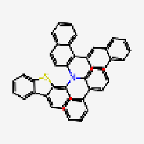 c1ccc(-c2ccccc2N(c2ccc3ccccc3c2-c2ccc3ccccc3c2)c2cccc3c2sc2ccccc23)cc1